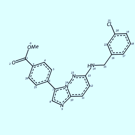 COC(=O)c1ccc(-c2cnc3ccc(NCc4cccc(Cl)c4)nn23)cc1